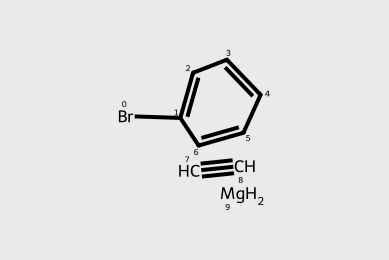 Brc1ccccc1.C#C.[MgH2]